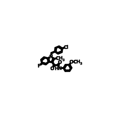 COc1cccc(NC(=O)C(=O)c2c(C)n(Cc3ccc(Cl)cc3)c3ccc(F)cc23)c1